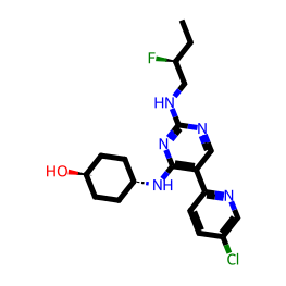 CC[C@H](F)CNc1ncc(-c2ccc(Cl)cn2)c(N[C@H]2CC[C@H](O)CC2)n1